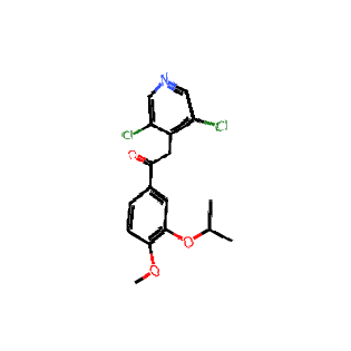 COc1ccc(C(=O)Cc2c(Cl)cncc2Cl)cc1OC(C)C